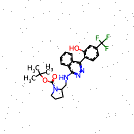 CC(C)(C)OC(=O)N1CCCC1CNc1nnc(-c2ccc(C(F)(F)F)cc2O)c2ccccc12